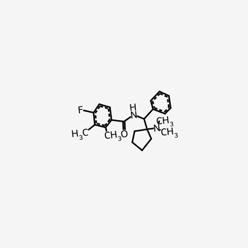 Cc1c(F)ccc(C(=O)NC(c2ccccc2)C2(N(C)C)CCCC2)c1C